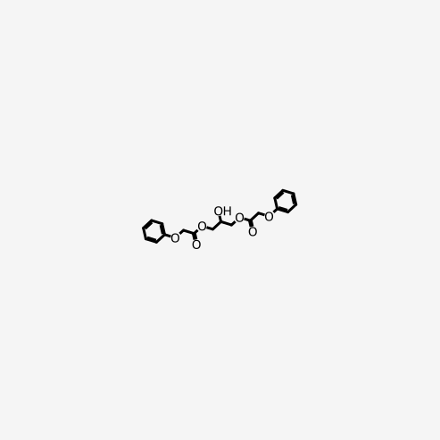 O=C(COc1ccccc1)OCC(O)COC(=O)COc1ccccc1